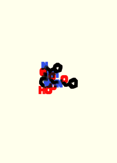 N#CC(NC(=O)[C@@H]1CCCN(C(=O)O)N1C(=O)CCNC(=O)Cc1ccccc1)c1ccccc1